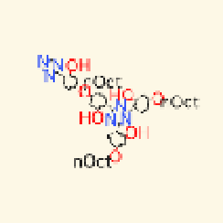 CCCCCCCCOc1ccc(-c2nc(-c3ccc(OCCCCCCCC)cc3O)nc(-c3ccc(OCCCCCCCC)cc3O)n2)c(O)c1.Oc1ccccc1-c1ncncn1